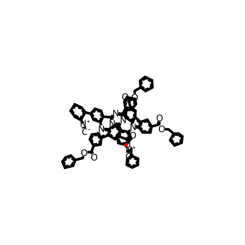 [C-]#[N+]c1ccc(-c2nc(-c3ccccc3)nc(-c3ccc(-c4ccccc4[N+]#[C-])cc3-n3c4ccc(C(=O)OCc5ccccc5)cc4c4cc(C(=O)OCc5ccccc5)ccc43)n2)c(-n2c3ccc(C(=O)OCc4ccccc4)cc3c3cc(C(=O)OCc4ccccc4)ccc32)c1